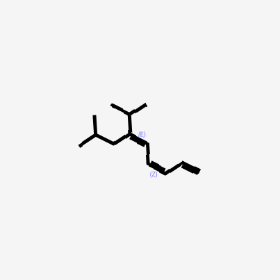 C=C/C=C\C=C(/CC(C)C)C(C)C